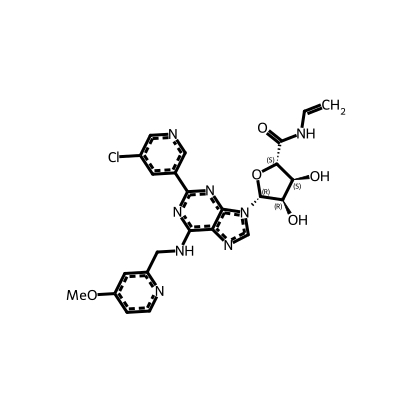 C=CNC(=O)[C@H]1O[C@@H](n2cnc3c(NCc4cc(OC)ccn4)nc(-c4cncc(Cl)c4)nc32)[C@H](O)[C@@H]1O